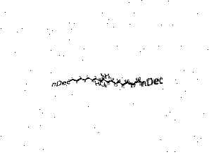 CCCCCCCCCCCCCCCCCCC(S)CCCCCCCCCCCCCCCCCC.Cl